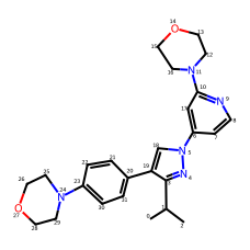 CC(C)c1nn(-c2ccnc(N3CCOCC3)c2)cc1-c1ccc(N2CCOCC2)cc1